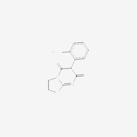 COc1ccccc1C1C(=O)N=C2SCCN2C1=O